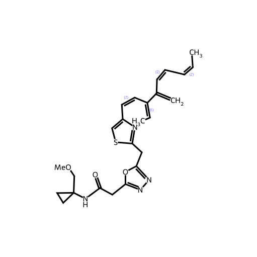 C=C(/C=C\C=C/C)C(/C=C\c1csc(Cc2nnc(CC(=O)NC3(COC)CC3)o2)n1)=C/C